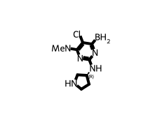 Bc1nc(N[C@@H]2CCNC2)nc(NC)c1Cl